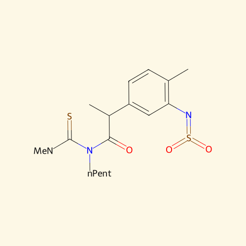 CCCCCN(C(=O)C(C)c1ccc(C)c(N=S(=O)=O)c1)C(=S)NC